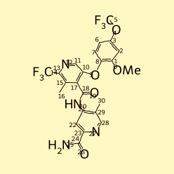 COc1cc(OC(F)(F)F)ccc1Oc1cnc(C(F)(F)F)c(C)c1C(=O)Nc1cc(C(N)=O)ncc1C